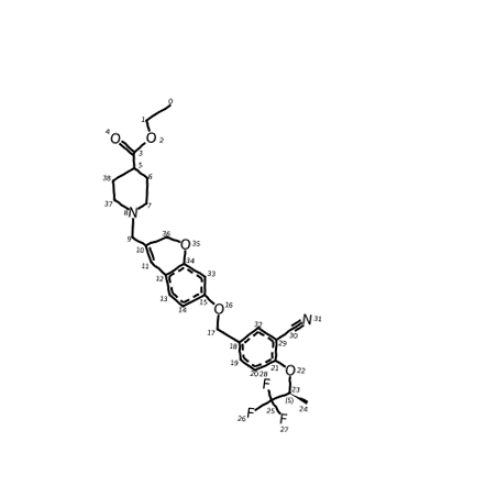 CCOC(=O)C1CCN(CC2=Cc3ccc(OCc4ccc(O[C@@H](C)C(F)(F)F)c(C#N)c4)cc3OC2)CC1